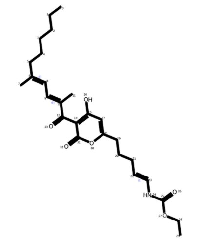 CCCCCC/C(C)=C/C=C(\C)C(=O)c1c(O)cc(CCC/C=C/NC(=O)OCC)oc1=O